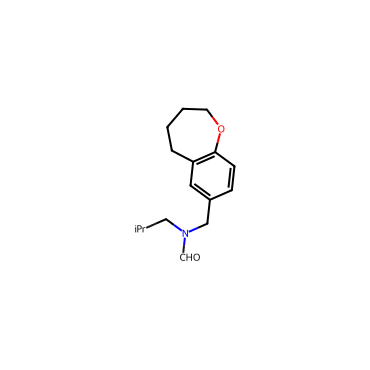 CC(C)CN(C=O)Cc1ccc2c(c1)CCCCO2